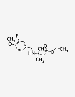 CCOC(=O)CC(C)(C)NCc1ccc(OC)c(F)c1